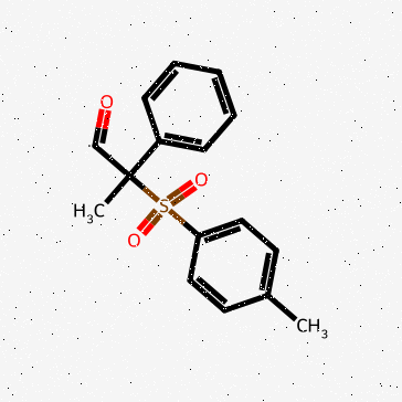 Cc1ccc(S(=O)(=O)C(C)([C]=O)c2ccccc2)cc1